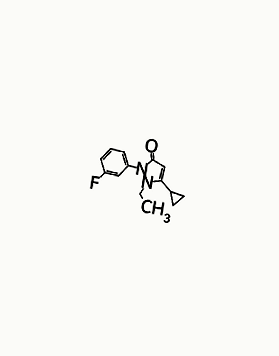 CCn1c(C2CC2)cc(=O)n1-c1cccc(F)c1